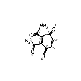 NC(=O)C1=C(C(N)=O)C(=O)C=CC1=O